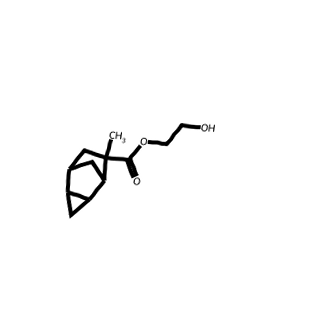 CC1(C(=O)OCCO)CC2CC1C1CC21